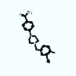 N#Cc1cc(CN2CCN(c3ccc(C(N)=O)cc3)CC2)ccc1F